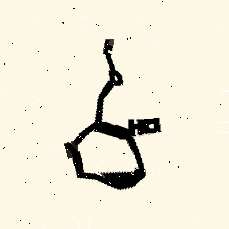 Cl.FOCc1ccccn1